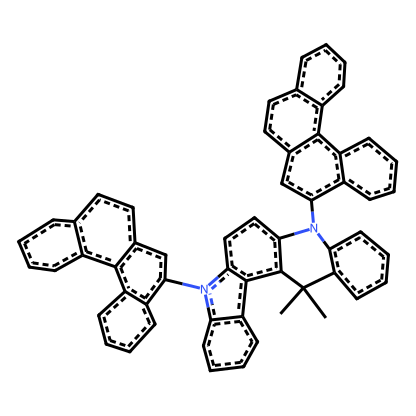 CC1(C)c2ccccc2N(c2cc3ccc4ccccc4c3c3ccccc23)c2ccc3c(c21)c1ccccc1n3-c1cc2ccc3ccccc3c2c2ccccc12